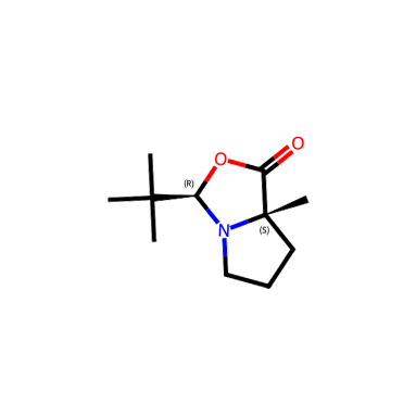 CC(C)(C)[C@H]1OC(=O)[C@]2(C)CCCN12